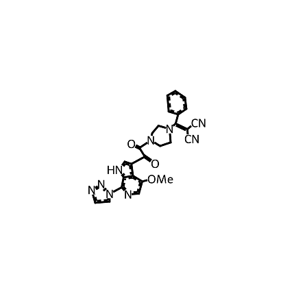 COc1cnc(-n2ccnn2)c2[nH]cc(C(=O)C(=O)N3CCN(C(=C(C#N)C#N)c4ccccc4)CC3)c12